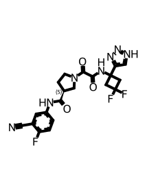 N#Cc1cc(NC(=O)[C@H]2CCN(C(=O)C(=O)NC3(c4c[nH]nn4)CC(F)(F)C3)C2)ccc1F